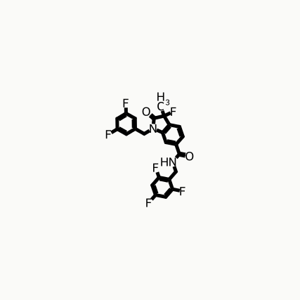 CC1(F)C(=O)N(Cc2cc(F)cc(F)c2)c2cc(C(=O)NCc3c(F)cc(F)cc3F)ccc21